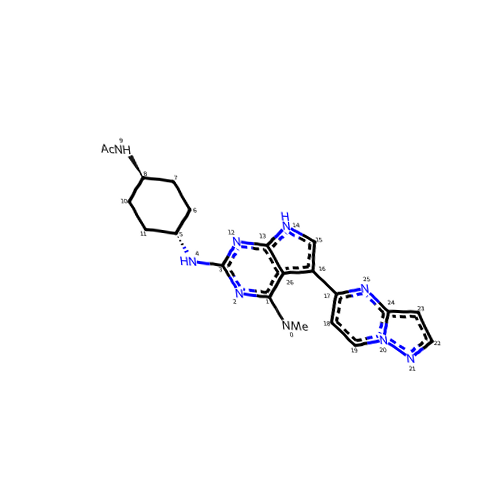 CNc1nc(N[C@H]2CC[C@H](NC(C)=O)CC2)nc2[nH]cc(-c3ccn4nccc4n3)c12